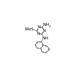 CSc1nc(N)nc(Nc2cccc3ccccc23)n1